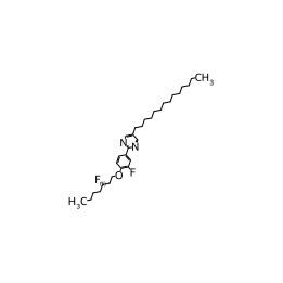 CCCCCCCCCCCCCCc1cnc(-c2ccc(OCC[C@@H](F)CCCC)c(F)c2)nc1